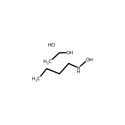 CCCCNO.CCO.Cl